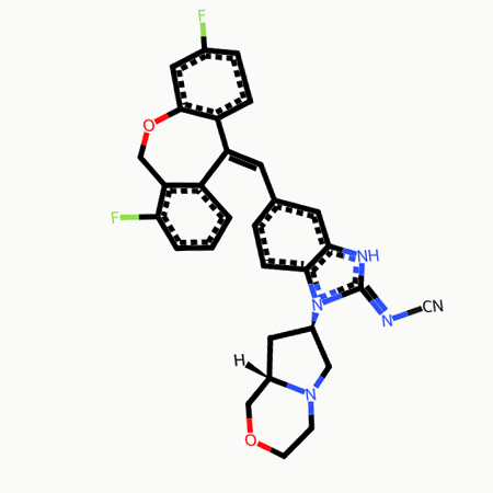 N#C/N=c1\[nH]c2cc(/C=C3/c4ccc(F)cc4OCc4c(F)cccc43)ccc2n1[C@@H]1C[C@H]2COCCN2C1